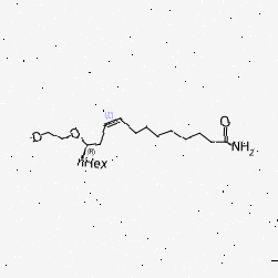 CCCCCC[C@H](C/C=C\CCCCCCCC(N)=O)OCC[O]